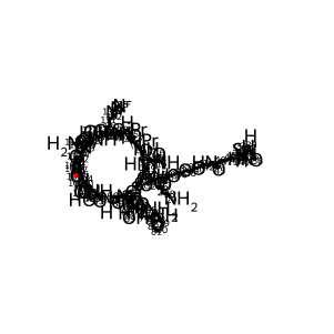 CC(C)C[C@@H]1NC(=O)[C@H](C(C)C)NC(=O)[C@H](CCC(N)=O)NC(=O)[C@@H](NC(=O)[C@H](CCCCN)NC(=O)COCCOCCOCCNC(=O)CCCC[C@@H]2SC[C@@H]3NC(=O)N[C@@H]32)CSSC[C@@H](C(=O)N[C@@H](CO)C(=O)N[C@@H](CC2=CNC3C=CC=CC23)C(N)=O)NC(=O)CNC(=O)C(CO)NC(=O)[C@H]([C@@H](C)O)NC(=O)[C@@H]2CCCN2C(=O)C(CC(N)=O)NC(=O)[C@H](CO)NC(=O)[C@H](CCCCN=[N+]=[N-])NC1=O